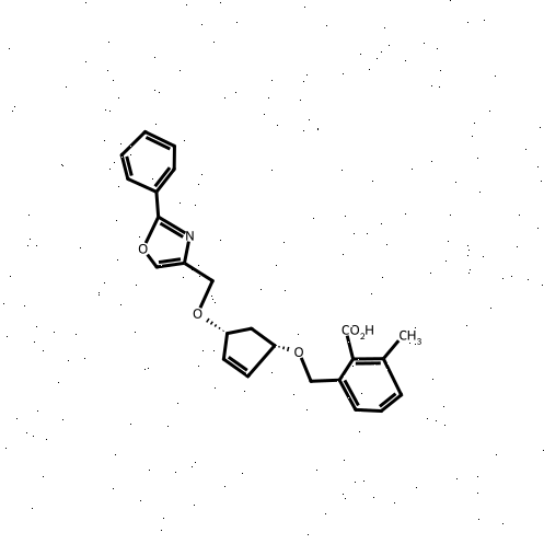 Cc1cccc(CO[C@@H]2C=C[C@H](OCc3coc(-c4ccccc4)n3)C2)c1C(=O)O